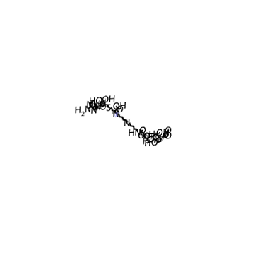 C[C@]12CC[C@@H](OC(=O)NCCCCCN=CCCC/C=N/[C@@H](CCSC[C@H]3O[C@@H](n4cnc5c(N)ncnc54)[C@H](O)[C@@H]3O)C(=O)O)C[C@H]1CCC1[C@@H]2C[C@@H](O)[C@]2(C)[C@@H](C3=CC(=O)OC3)CC[C@]12O